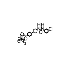 COC(=O)[C@@H]1CCC[C@@H]1C(=O)c1ccc(C2CCC(NC(=O)Nc3cccc(Cl)c3)CC2)cc1